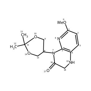 COc1ccc2c(n1)N(C1COC(C)(C)OC1)C(=O)CN2